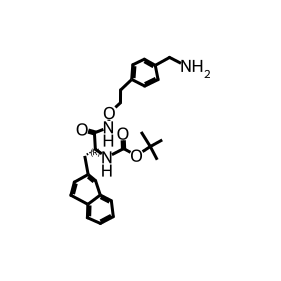 CC(C)(C)OC(=O)N[C@H](Cc1ccc2ccccc2c1)C(=O)NOCCc1ccc(CN)cc1